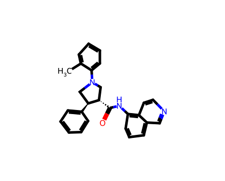 Cc1ccccc1N1C[C@H](C(=O)Nc2cccc3cnccc23)[C@@H](c2ccccc2)C1